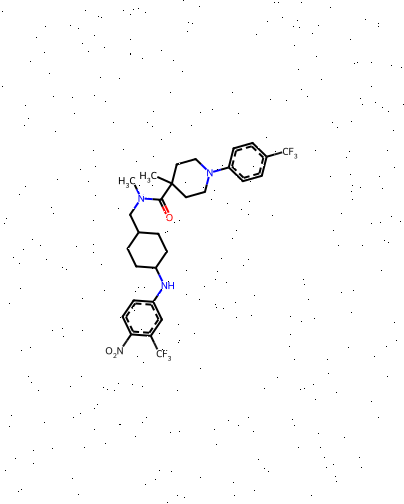 CN(CC1CCC(Nc2ccc([N+](=O)[O-])c(C(F)(F)F)c2)CC1)C(=O)C1(C)CCN(c2ccc(C(F)(F)F)cc2)CC1